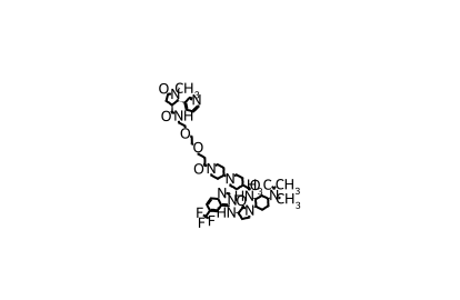 CC(C)N(C)[C@@H]1CC[C@H](N2CC[C@H](Nc3ncnc4ccc(C(F)(F)F)cc34)C2=O)[C@H](NC(=O)C2CCN(C3CCN(C(=O)CCOCCOCCNC(=O)[C@H]4CC(=O)N(C)[C@@H]4c4cccnc4)CC3)CC2)C1